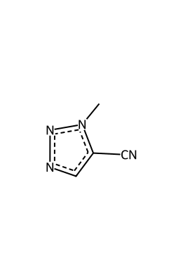 Cn1nncc1C#N